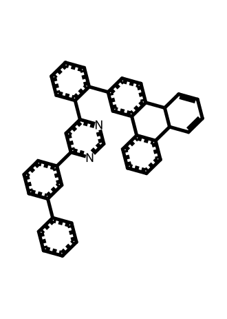 C1=CC2c3ccccc3-c3cc(-c4ccccc4-c4cc(-c5cccc(-c6ccccc6)c5)ncn4)ccc3C2C=C1